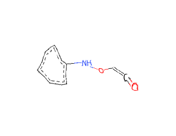 O=C=CONc1ccccc1